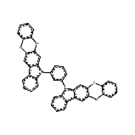 c1cc(-n2c3ccccc3c3cc4c(cc32)Oc2ccccc2O4)cc(-n2c3ccccc3c3cc4c(cc32)Oc2ccccc2O4)c1